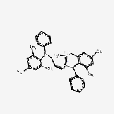 C/C=C(\C=C/CN(c1ccccc1)c1c(C)cc(C)cc1C)N(c1ccccc1)c1c(C)cc(C)cc1C